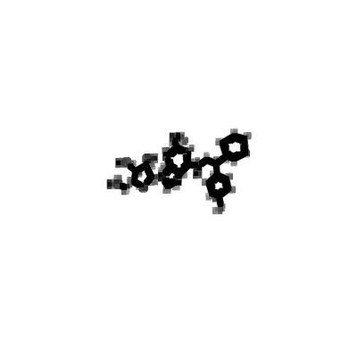 Nc1nc(NCC(c2ccccc2)c2ccc(F)cc2)c2ncn([C@@H]3O[C@H](CO)[C@@H](O)[C@H]3O)c2n1